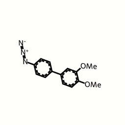 COc1ccc(-c2ccc(N=[N+]=[N-])cc2)cc1OC